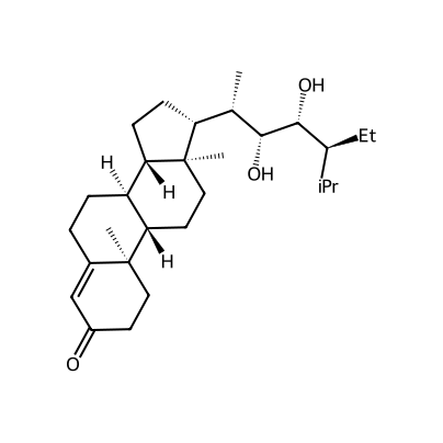 CC[C@@H](C(C)C)[C@@H](O)[C@H](O)[C@@H](C)[C@H]1CC[C@H]2[C@@H]3CCC4=CC(=O)CC[C@]4(C)[C@H]3CC[C@]12C